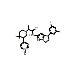 CC(C(=O)Nc1cc2n(n1)CCC2c1cc(F)cc(F)c1)N1CCC(F)(F)C(c2cc[n+]([O-])cc2)C1